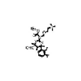 CC1[C@@](C)(C=O)SC(N(COCC[Si](C)(C)C)C(=O)OC(C)(C)C)=N[C@]1(C)c1cccc(F)c1F